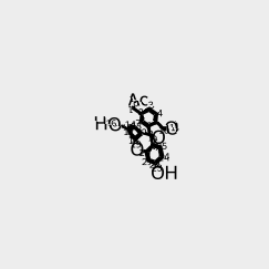 CC(=O)Cc1ccc2c(c1)C1(OC2=O)c2ccc(O)cc2Oc2cc(O)ccc21